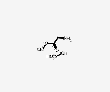 CC(C)(C)OC(=O)CN.O=S(=O)(O)O